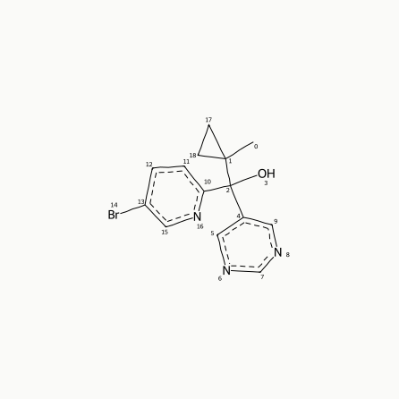 CC1(C(O)(c2cncnc2)c2ccc(Br)cn2)CC1